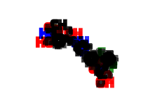 CS(=O)(=O)Nc1cc([C@H](O)CNC2CCN(c3ccc(S(=O)(=O)N(CC(=O)O)Cc4cc(F)ccc4F)cc3)CC2)ccc1O